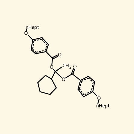 CCCCCCCOc1ccc(C(=O)OC(C)(OC(=O)c2ccc(OCCCCCCC)cc2)C2CCCCC2)cc1